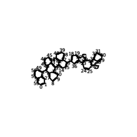 c1ccc2c(-c3c4ccccc4c(-c4ccc(-c5ccc6sc7c(ccc8sc9ccccc9c87)c6c5)c5ccccc45)c4ccccc34)cccc2c1